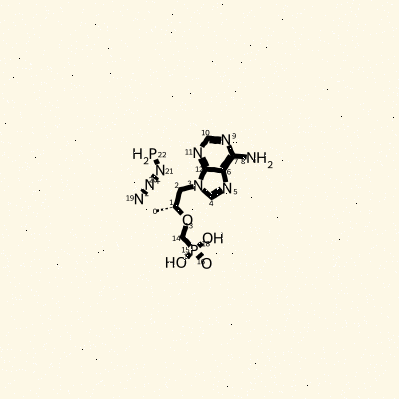 C[C@H](Cn1cnc2c(N)ncnc21)OCP(=O)(O)O.[N-]=[N+]=NP